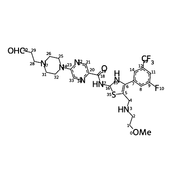 COCCNCC1=C(c2cc(F)cc(C(F)(F)F)c2)NC(NC(=O)c2cnc(N3CCN(CCC=O)CC3)cn2)S1